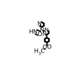 CCOC(=O)c1ccc(-c2ccnc(N(c3cccnc3)C3CNCCO3)n2)cc1